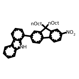 CCCCCCCCC1(CCCCCCCC)c2cc(-c3cccc4c3[nH]c3ccccc34)ccc2-c2ccc([N+](=O)[O-])cc21